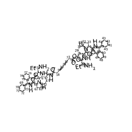 CC[C@H](N)C(=O)N[C@@H]1C(=O)N2[C@@H](CC[C@@H]1CNC(=O)CC#CC#CCC(=O)OC[C@H]1CC[C@H]3CC[C@@H](C(=O)NC(c4ccccc4)c4ccccc4)N3C(=O)[C@H]1NC(=O)[C@@H](N)CC)CC[C@H]2C(=O)NC(c1ccccc1)c1ccccc1